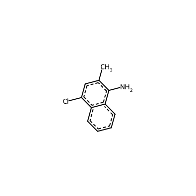 Cc1cc(Cl)c2ccccc2c1N